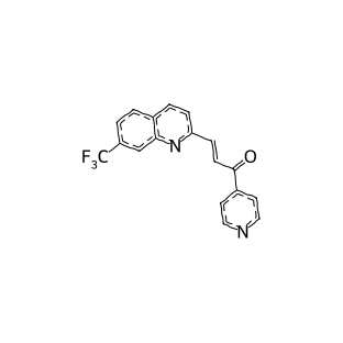 O=C(C=Cc1ccc2ccc(C(F)(F)F)cc2n1)c1ccncc1